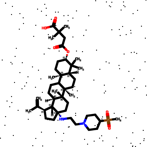 C=C(C)[C@@H]1CC[C@]2(NCCN3CCC(S(C)(=O)=O)CC3)CC[C@]3(C)[C@H](CCC4[C@@]5(C)CC[C@H](OC(=O)CC(C)(C)C(=O)O)C(C)(C)[C@@H]5CC[C@]43C)[C@@H]12